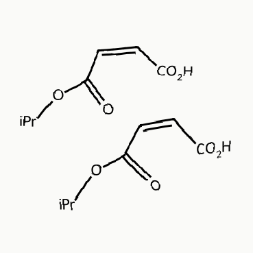 CC(C)OC(=O)/C=C\C(=O)O.CC(C)OC(=O)/C=C\C(=O)O